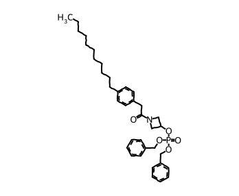 CCCCCCCCCCCc1ccc(CC(=O)N2CC(OP(=O)(OCc3ccccc3)OCc3ccccc3)C2)cc1